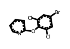 Clc1cc(Br)cc(Cl)c1Oc1ccccn1